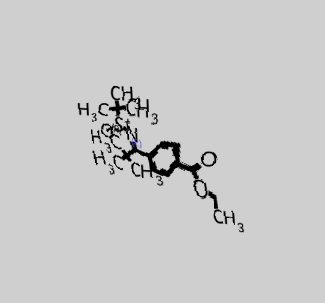 CCOC(=O)c1ccc(/C(=N/[S@@+]([O-])C(C)(C)C)C(C)(C)C)cc1